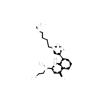 CCN(CCO)c1cc(=O)c2cccc(-c3cn(CCCCOC=O)nn3)c2[nH]1